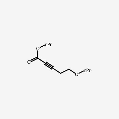 CC[CH]OCCC#CC(=O)OCCC